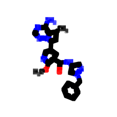 COc1ncc(-c2cc(C)c3c(N)ncnn23)cc1C(=O)Nc1cnn(Cc2ccccc2)c1